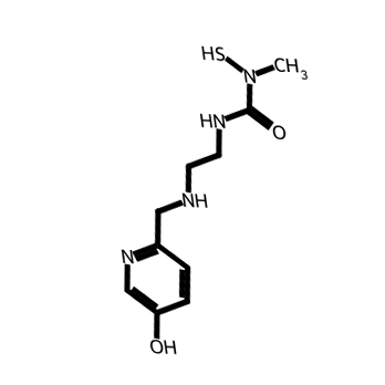 CN(S)C(=O)NCCNCc1ccc(O)cn1